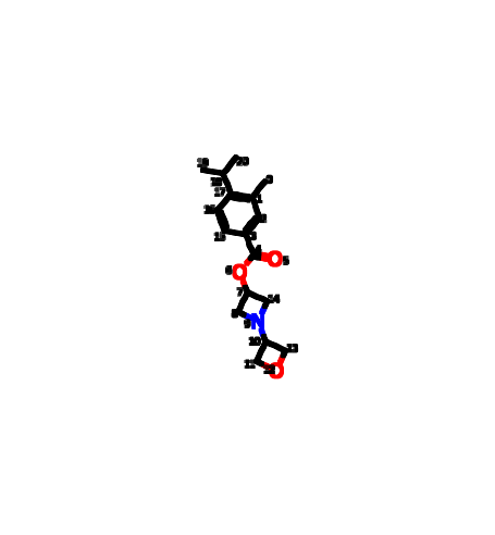 Cc1cc(C(=O)OC2CN(C3COC3)C2)ccc1C(C)C